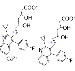 O=C([O-])CC(O)CC(O)/C=C/c1c(C2CC2)nc2ccccc2c1-c1ccc(F)cc1.O=C([O-])CC(O)CC(O)/C=C/c1c(C2CC2)nc2ccccc2c1-c1ccc(F)cc1.[Ca+2]